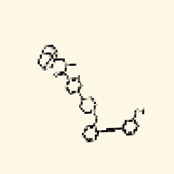 CN(CC12CC3CC(CC(C3)C1)C2)C(=O)c1ccc(N2CCN(Cc3ccccc3C#Cc3cccc(O)c3)CC2)nn1